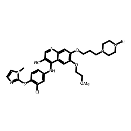 CCN1CCN(CCCOc2cc3ncc(C#N)c(Nc4ccc(Sc5nccn5C)c(Cl)c4)c3cc2OCCOC)CC1